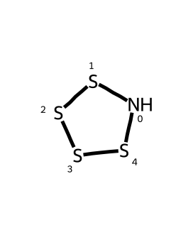 [nH]1ssss1